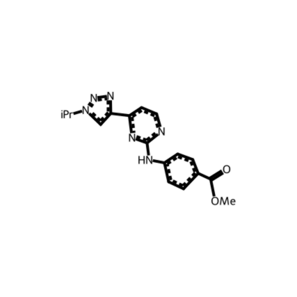 COC(=O)c1ccc(Nc2nccc(-c3cn(C(C)C)nn3)n2)cc1